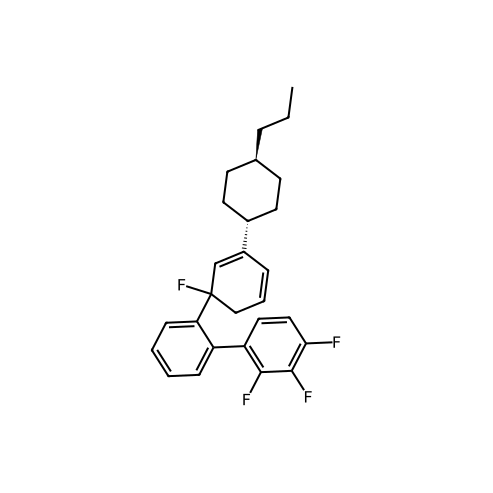 CCC[C@H]1CC[C@H](C2=CC(F)(c3ccccc3-c3ccc(F)c(F)c3F)CC=C2)CC1